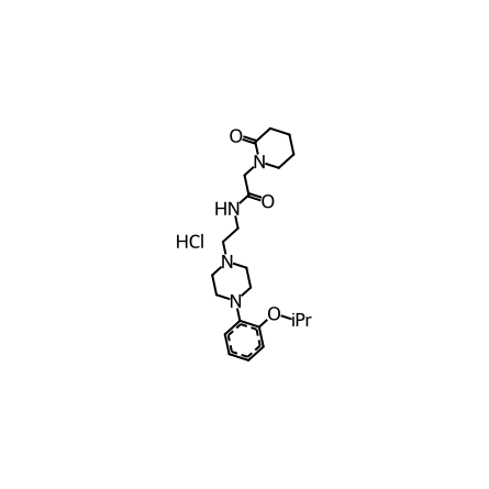 CC(C)Oc1ccccc1N1CCN(CCNC(=O)CN2CCCCC2=O)CC1.Cl